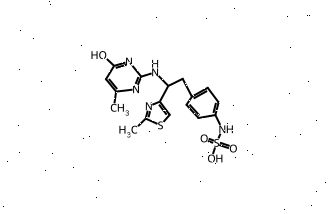 Cc1cc(O)nc(NC(Cc2ccc(NS(=O)(=O)O)cc2)c2csc(C)n2)n1